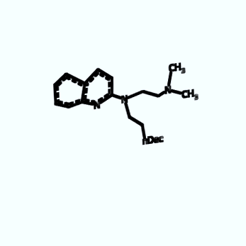 CCCCCCCCCCCCN(CCN(C)C)c1ccc2ccccc2n1